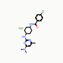 Cc1cc(N(C)C)nc(NC2CCC(NC(=O)c3ccc(Cl)cc3)CC2)n1.Cl